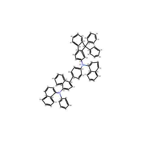 c1ccc(N(c2cccc3ccccc23)c2ccc(-c3ccc(N(c4ccc5c(c4)C(c4ccccc4)(c4ccccc4)c4ccccc4-5)c4cccc5ccccc45)cc3)c3ccccc23)cc1